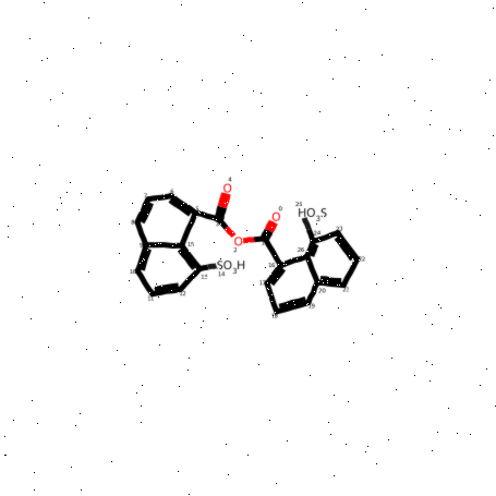 O=C(OC(=O)c1cccc2cccc(S(=O)(=O)O)c12)c1cccc2cccc(S(=O)(=O)O)c12